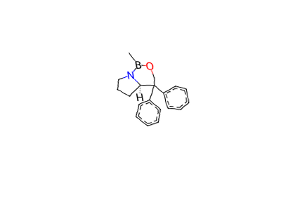 CB1OCC(c2ccccc2)(c2ccccc2)[C@H]2CCCN12